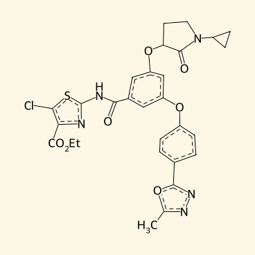 CCOC(=O)c1nc(NC(=O)c2cc(Oc3ccc(-c4nnc(C)o4)cc3)cc(OC3CCN(C4CC4)C3=O)c2)sc1Cl